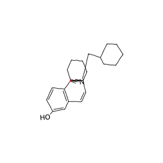 Oc1ccc2c(c1)C=CC13CCCCC21C=CN(CC1CCCCC1)C3